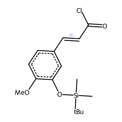 COc1ccc(/C=C/C(=O)Cl)cc1O[Si](C)(C)C(C)(C)C